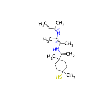 C=C/C(C)=N\C(C)=C(/C)NC(=C)C1(C)CCC(C)(S)CC1